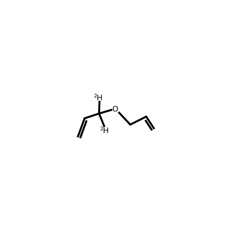 [2H]C([2H])(C=C)OCC=C